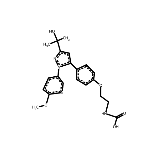 COc1ccc(-n2nc(C(C)(C)O)cc2-c2ccc(OCCNC(=O)O)cc2)cn1